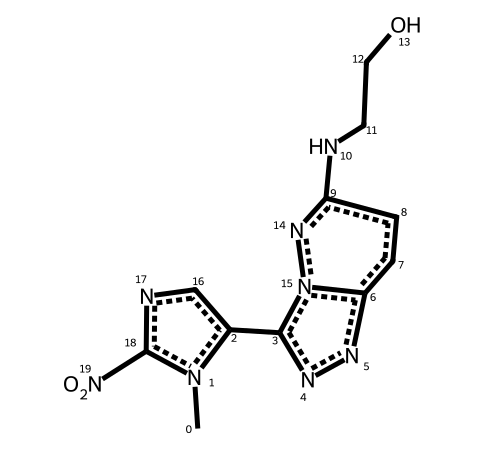 Cn1c(-c2nnc3ccc(NCCO)nn23)cnc1[N+](=O)[O-]